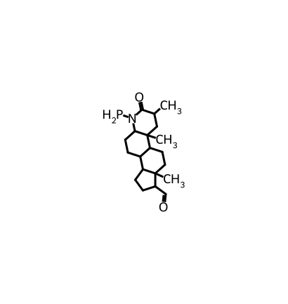 CC1CC2(C)C3CCC4(C)C(C=O)CCC4C3CCC2N(P)C1=O